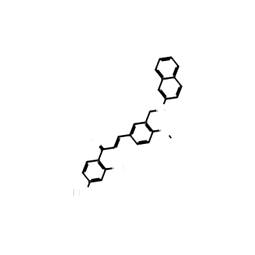 COc1ccc(/C=C/C(=O)c2ccc(O)cc2O)cc1COc1ccc2ccccc2c1